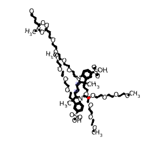 COCCOCCOCCOCC[N+]1=C(/C=C/C=C2/N(CCOCCOCCOCCOCCC(=O)ON(C)C(=O)CCC=O)c3ccc(S(=O)(=O)O)cc3C2(C)CCOCCOCCOCCOC)C(C)(CCOCCOCCOCCOC)c2cc(S(=O)(=O)O)ccc21